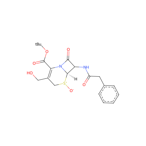 CC(C)(C)OC(=O)C1=C(CO)C[S+]([O-])[C@@H]2C(NC(=O)Cc3ccccc3)C(=O)N12